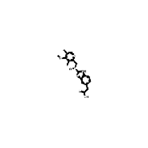 COc1c(C)cnc(C[S+]([O-])c2nc3cc(CC(=O)O)ccc3[nH]2)c1C